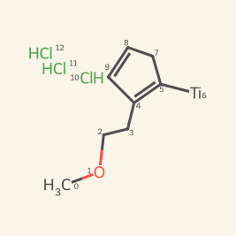 COCCC1=[C]([Ti])CC=C1.Cl.Cl.Cl